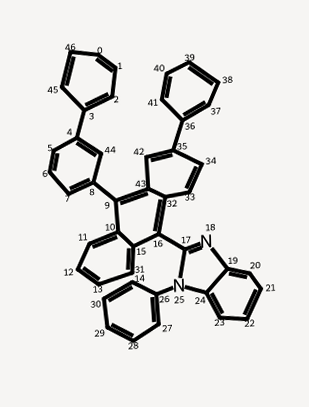 c1ccc(-c2cccc(-c3c4ccccc4c(-c4nc5ccccc5n4-c4ccccc4)c4ccc(-c5ccccc5)cc34)c2)cc1